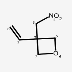 C=CC1(C[N+](=O)[O-])COC1